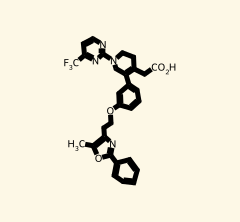 Cc1oc(-c2ccccc2)nc1CCOc1cccc(C2=C(CC(=O)O)CCN(c3nccc(C(F)(F)F)n3)C2)c1